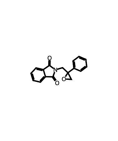 O=C1c2ccccc2C(=O)N1CC1(c2ccccc2)CO1